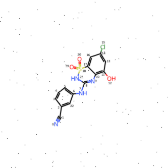 N#Cc1cccc(NC2=Nc3c(O)cc(Cl)cc3S(=O)(=O)N2)c1